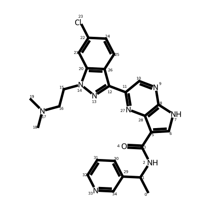 CC(NC(=O)c1c[nH]c2ncc(-c3nn(CCN(C)C)c4cc(Cl)ccc34)nc12)c1cccnc1